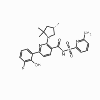 C[C@@H]1CN(c2nc(-c3cccc(F)c3O)ccc2C(=O)NS(=O)(=O)c2cccc(N)n2)C(C)(C)C1